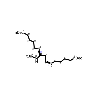 CCCCCCCCCCCCCC/N=C\C/C(=N/CCCCCCCCCCCCCC)NC(C)(C)C